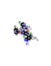 Cc1cc2[nH]ncc2c(-c2nc3c4c(nc(OC[C@@]56CCCN5C[C@H](F)C6)nc4c2F)N([C@H](C)c2cc(F)cnc2N)CCO3)c1C(F)(F)F